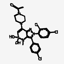 CC(=O)N1CCN(C2=CS(O)(O)N(C)c3c2nn(-c2ccc(Cl)cc2Cl)c3-c2ccc(Cl)cc2)CC1